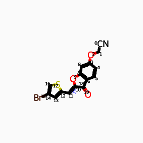 N#CCOc1ccc2c(c1)O/C(=C\c1cc(Br)cs1)C2=O